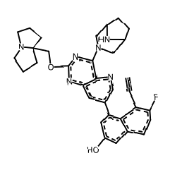 C#Cc1c(F)ccc2cc(O)cc(-c3cnc4c(N5CC6CCC(C5)N6)nc(OCC56CCCN5CCC6)nc4c3)c12